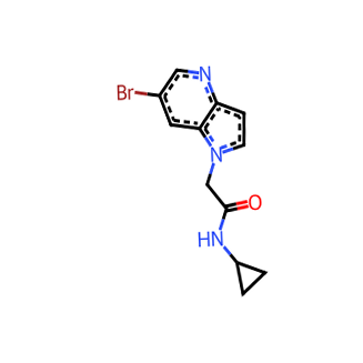 O=C(Cn1ccc2ncc(Br)cc21)NC1CC1